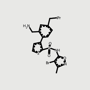 Cc1noc(NS(=O)(=O)c2sccc2-c2ccc(CC(C)C)cc2CN)c1Br